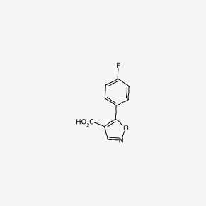 O=C(O)c1cnoc1-c1ccc(F)cc1